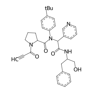 C#CC(=O)N1CCCC1C(=O)N(c1ccc(C(C)(C)C)cc1)C(C(=O)NC(CO)Cc1ccccc1)c1cccnc1